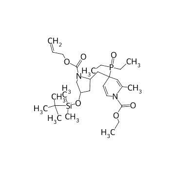 C=CCOC(=O)N1CC(O[Si](C)(C)C(C)(C)C)CC1CC1(P(=O)(CC)CC)C=CN(C(=O)OCC)C(C)=C1